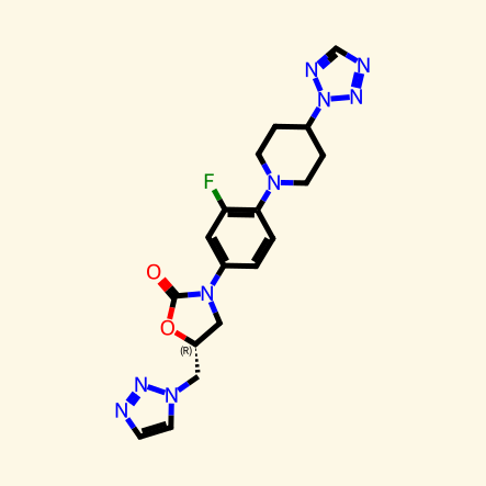 O=C1O[C@@H](Cn2ccnn2)CN1c1ccc(N2CCC(n3ncnn3)CC2)c(F)c1